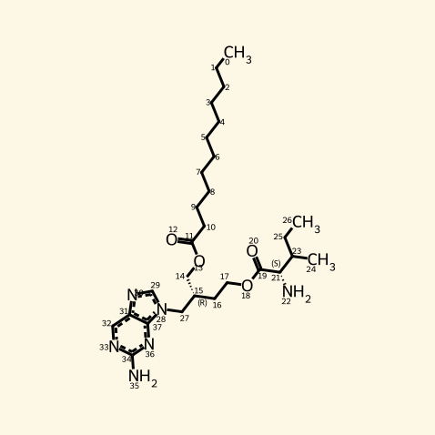 CCCCCCCCCCCC(=O)OC[C@H](CCOC(=O)[C@@H](N)C(C)CC)Cn1cnc2cnc(N)nc21